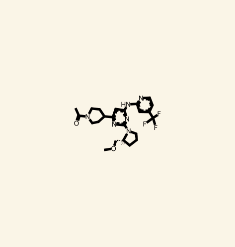 COC[C@H]1CCCN1c1nc(Nc2cc(C(F)(F)F)ccn2)cc(C2CCN(C(C)=O)CC2)n1